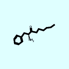 CCCCCCC(=O)[C@@H](N)Cc1ccccc1